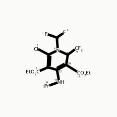 CCOC(=O)C1=C(Cl)N(C(F)F)C(C(F)(F)F)C(C(=O)OCC)=C1NC(C)C